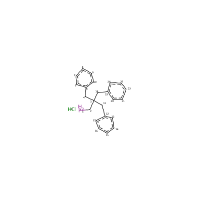 Cl.PCC(Cc1ccccc1)(Cc1ccccc1)Cc1ccccc1